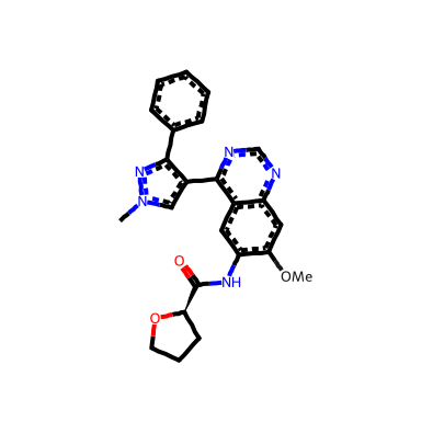 COc1cc2ncnc(-c3cn(C)nc3-c3ccccc3)c2cc1NC(=O)[C@H]1CCCO1